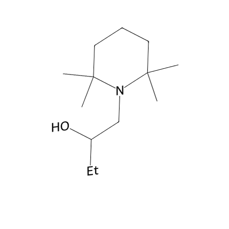 CCC(O)CN1C(C)(C)CCCC1(C)C